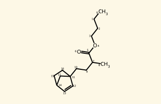 CCCCOC(=O)C(C)CCC12C=CC(CC1)C2